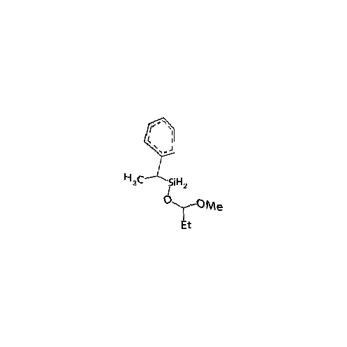 CCC(OC)O[SiH2]C(C)c1ccccc1